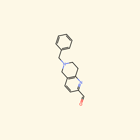 O=Cc1ccc2c(n1)CCN(Cc1ccccc1)C2